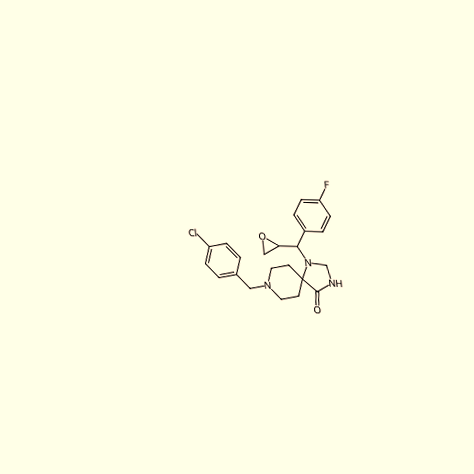 O=C1NCN(C(c2ccc(F)cc2)C2CO2)C12CCN(Cc1ccc(Cl)cc1)CC2